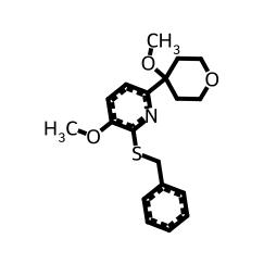 COc1ccc(C2(OC)CCOCC2)nc1SCc1ccccc1